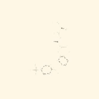 N=C(N)NCC(=O)N1CCc2ccc(Oc3ccc(C(F)(F)F)cc3)cc2C1